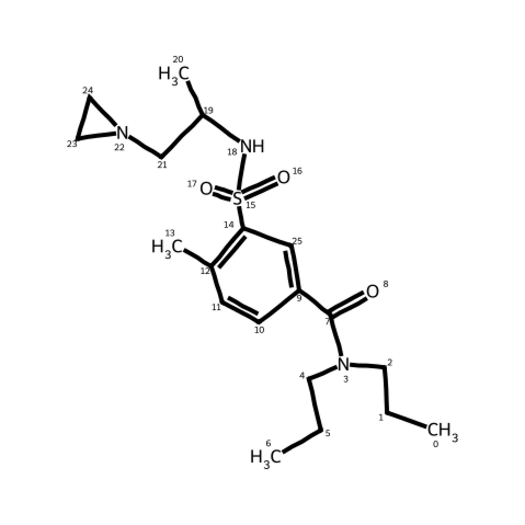 CCCN(CCC)C(=O)c1ccc(C)c(S(=O)(=O)NC(C)CN2CC2)c1